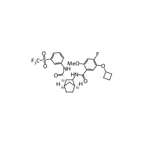 COc1cc(F)c(OC2CCC2)cc1C(=O)NC1[C@H]2CC[C@H](C2)[C@@H]1C(=O)Nc1cccc(S(=O)(=O)C(F)(F)F)c1